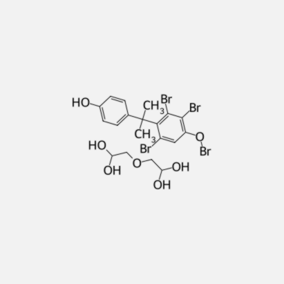 CC(C)(c1ccc(O)cc1)c1c(Br)cc(OBr)c(Br)c1Br.OC(O)COCC(O)O